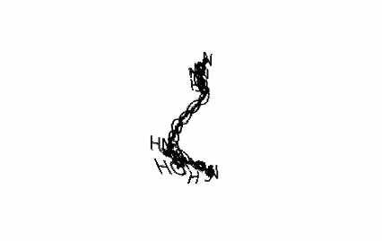 CNc1c(-c2cn3c(n2)sc2cc(OCCOCCOCCOCCOCC(=O)N[C@H](C(=O)N4C[C@H](O)C[C@H]4C(=O)NCc4ccc(-c5scnc5C)cc4)C(C)(C)C)ccc23)nc2cc(C#N)ccn12